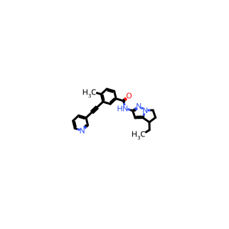 CCC1CCn2nc(NC(=O)c3ccc(C)c(C#Cc4cccnc4)c3)cc21